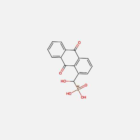 O=C1c2ccccc2C(=O)c2c1cccc2C(O)[SH](=O)(O)O